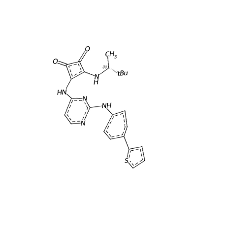 C[C@@H](Nc1c(Nc2ccnc(Nc3ccc(-c4cccs4)cc3)n2)c(=O)c1=O)C(C)(C)C